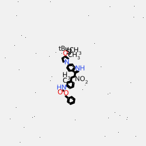 Cc1c(CC(c2c[nH]c3cc(N4CCC(O[Si](C)(C)C(C)(C)C)C4)ccc23)[N+](=O)[O-])cccc1NC(=O)OCc1ccccc1